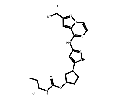 CC[C@@H](C)NC(=O)O[C@@H]1CC[C@H](c2cc(Nc3nccn4nc([C@@H](C)O)cc34)n[nH]2)C1